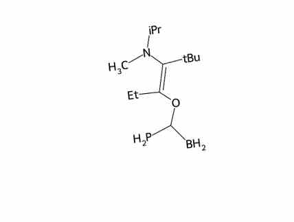 BC(P)O/C(CC)=C(/N(C)C(C)C)C(C)(C)C